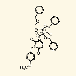 COc1ccc(Cn2c(=O)ccn([C@@H]3O[C@H](COCc4ccccc4)[C@@H](OCc4ccccc4)[C@@]3(CF)OCc3ccccc3)c2=O)cc1